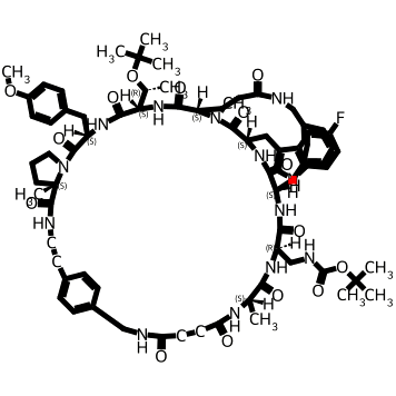 COc1ccc(C[C@@H]2NC(=O)[C@H]([C@@H](C)OC(C)(C)C)NC(=O)[C@@H]3CCC(=O)NCc4cccc(c4)C[C@H](NC(=O)[C@@H](CNC(=O)OC(C)(C)C)NC(=O)[C@H](C)NC(=O)CCC(=O)NCc4ccc(cc4)CCNC(=O)[C@]4(C)CCCN4C2=O)C(=O)N[C@@H](Cc2c[nH]c4ccc(F)cc24)C(=O)N3C)cc1